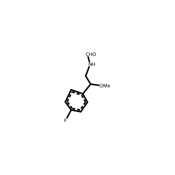 COC(CNC=O)c1ccc(F)cc1